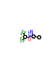 N#Cc1cc(-c2ccccc2)ccc1NC(=O)c1cc(C(F)(F)F)cc(C(F)(F)F)c1